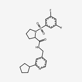 O=C(NCc1ccnc(C2CCCC2)c1)C1CCCN1S(=O)(=O)c1cc(F)cc(F)c1